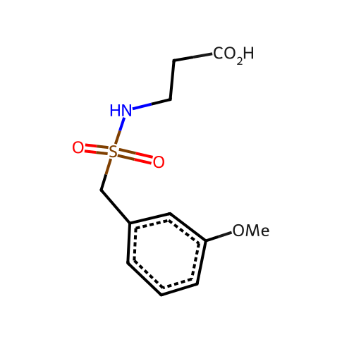 COc1cccc(CS(=O)(=O)NCCC(=O)O)c1